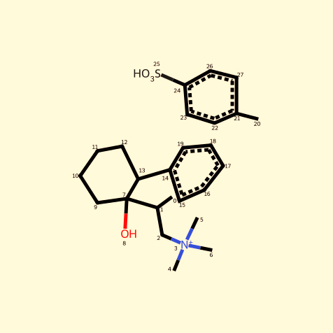 CC(C[N+](C)(C)C)C1(O)CCCCC1c1ccccc1.Cc1ccc(S(=O)(=O)O)cc1